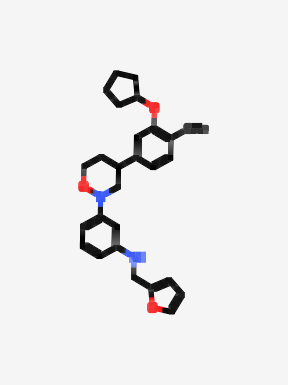 COc1ccc(C2CCON(c3cccc(NCc4ccco4)c3)C2)cc1OC1CCCC1